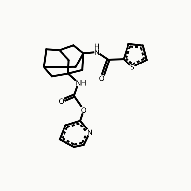 O=C(NC12CC3CC(C1)CC(NC(=O)c1cccs1)(C3)C2)Oc1ccccn1